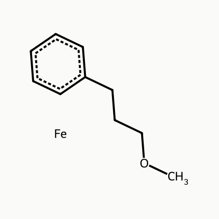 COCCCc1ccccc1.[Fe]